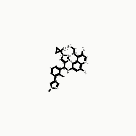 Cc1c(-c2cnn(C)c2)cccc1C(Nc1cc(Cl)c2ncc(C#N)c(NCC(C)(C)C)c2c1)c1cn(C2(C(F)(F)F)CC2)nn1